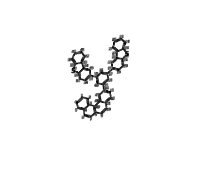 c1ccc2c(c1)ccc1ccc3ccc(-c4cc(-c5ccc6sc7ccccc7c6c5)cc(-c5ccc6sc7ccccc7c6c5)c4)cc3c12